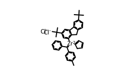 Cc1ccc(/[C](c2ccccc2)=[Zr+2](\[C]2=CC=CC2)[c]2cc(C(C)(C)C)cc3c2Cc2ccc(C(C)(C)C)cc2-3)cc1.[Cl-].[Cl-]